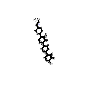 C/C=C/C1CCC(c2ccc(-c3ccc(-c4ccc(CC)c(F)c4F)cc3)c(F)c2F)OC1